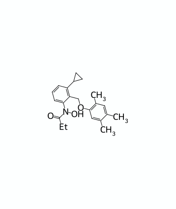 CCC(=O)N(O)c1cccc(C2CC2)c1COc1cc(C)c(C)cc1C